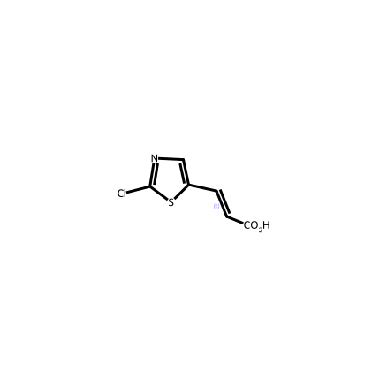 O=C(O)/C=C/c1cnc(Cl)s1